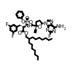 C#C[C@@]1(COP(=O)(N[C@@H](Cc2cc(F)cc(F)c2)C(=O)OCC(CCCCCCC)CCCCCCC)Oc2ccccc2)CC[C@H](n2cnc3c(N)nc(F)nc32)O1